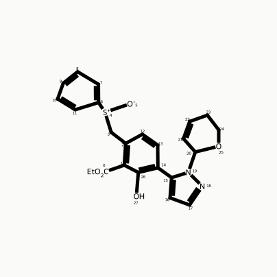 CCOC(=O)c1c(C[S+]([O-])c2ccccc2)ccc(-c2ccnn2C2C=CCCO2)c1O